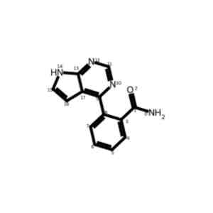 NC(=O)c1ccccc1-c1ncnc2[nH]ccc12